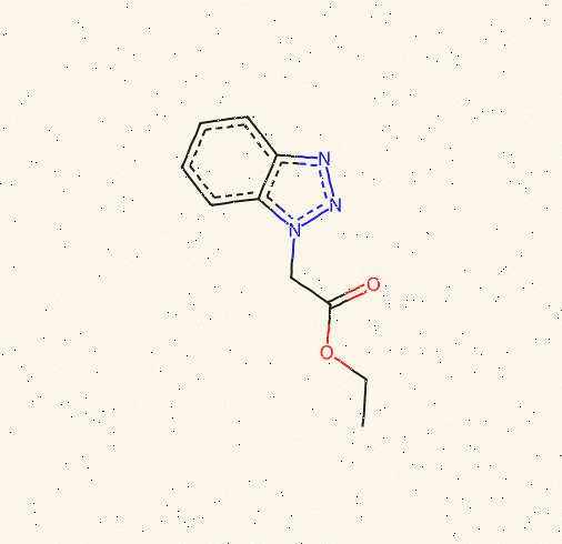 CCOC(=O)Cn1nnc2[c]cccc21